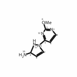 COc1nccc(N2C=CC(N)N2)n1